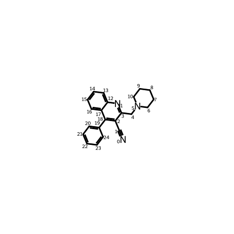 N#Cc1c(CN2CCCCC2)nc2ccccc2c1-c1ccccc1